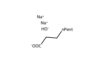 CCCCCCCC(=O)[O-].[Na+].[Na+].[OH-]